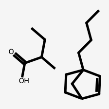 CCC(C)C(=O)O.CCCCC12C=CC(CC1)C2